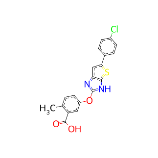 Cc1ccc(Oc2nc3cc(-c4ccc(Cl)cc4)sc3[nH]2)cc1C(=O)O